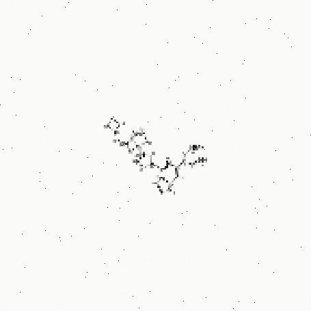 CN/C=C(\C=N)c1cc2nccn2c(-c2cnn(C3(CNC)CN(CC4CCC4)C3)c2)n1